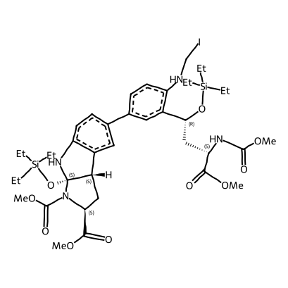 CC[Si](CC)(CC)O[C@H](C[C@H](NC(=O)OC)C(=O)OC)c1cc(-c2ccc3c(c2)[C@@H]2C[C@@H](C(=O)OC)N(C(=O)OC)[C@@]2(O[Si](CC)(CC)CC)N3)ccc1NCI